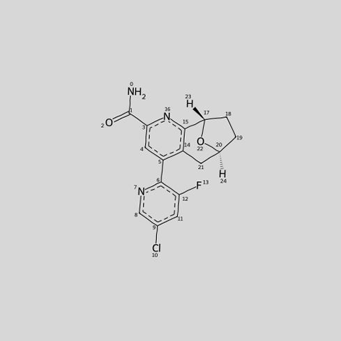 NC(=O)c1cc(-c2ncc(Cl)cc2F)c2c(n1)[C@@H]1CC[C@@H](C2)O1